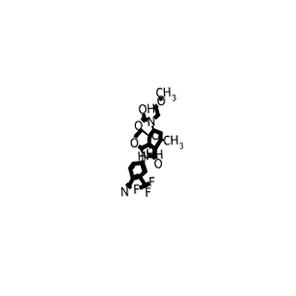 COCCN(C(=O)O)[C@H]1C[C@@]2(C)O[C@@]13CCO[C@H]1[C@@H]3[C@@H]2C(=O)N1c1ccc(C#N)c(C(F)(F)F)c1